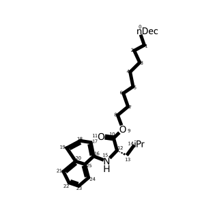 CCCCCCCCCCCCCCCCCCOC(=O)[C@H](CC(C)C)Nc1cccc2ccccc12